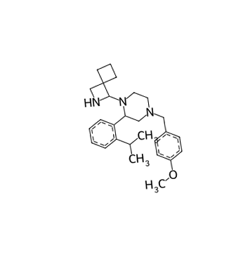 COc1ccc(CN2CCN(C3NCC34CCC4)C(c3ccccc3C(C)C)C2)cc1